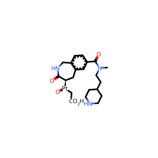 CN(CCC1CCNCC1)C(=O)c1ccc2c(c1)C[C@@H]([Pt](=[O])[CH2]C(=O)O)C(=O)NC2